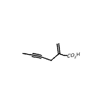 C=C(CC#CC)C(=O)O